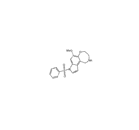 COc1cc2c(ccn2S(=O)(=O)c2ccccc2)c2c1OCCNC2